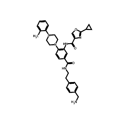 Cc1ccccc1N1CCN(c2ccc(C(=O)NCCc3ccc(CN)cc3)cc2NC(=O)c2coc(C3CC3)n2)CC1